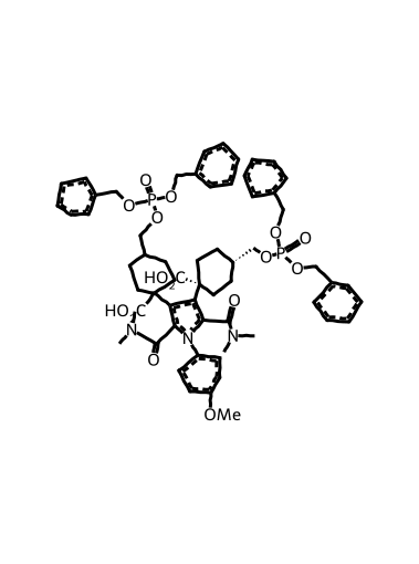 COc1ccc(-n2c(C(=O)N(C)C)c(C3(C(=O)O)CCC(COP(=O)(OCc4ccccc4)OCc4ccccc4)CC3)c([C@]3(C(=O)O)CC[C@@H](COP(=O)(OCc4ccccc4)OCc4ccccc4)CC3)c2C(=O)N(C)C)cc1